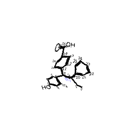 CC/C(=C(\c1ccc(O)cc1)c1ccc(C(=O)O)cc1)c1ccccc1